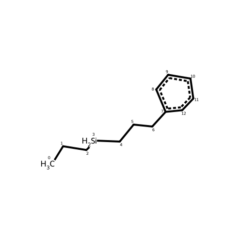 CCC[SiH2]CCCc1ccccc1